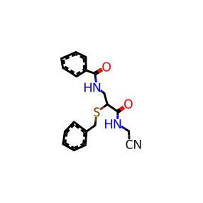 N#CCNC(=O)C(CNC(=O)c1ccccc1)SCc1ccccc1